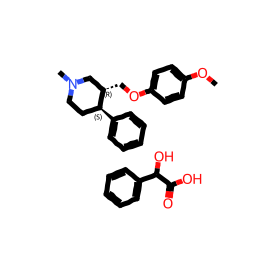 COc1ccc(OC[C@H]2CN(C)CC[C@@H]2c2ccccc2)cc1.O=C(O)C(O)c1ccccc1